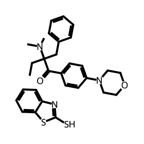 CCC(Cc1ccccc1)(C(=O)c1ccc(N2CCOCC2)cc1)N(C)C.Sc1nc2ccccc2s1